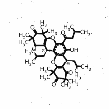 CC(C)CC(=O)c1c(O)c2c(c3c1OC1=C(C(=O)C(C)(C)C(=O)C1(C)C)[C@@H]3CC(C)C)OC1=C(C(=O)C(C)(C)C(=O)C1(C)C)[C@@H]2CC(C)C